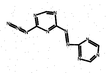 [N-]=[N+]=Nc1ncnc(N=Nc2ncncn2)n1